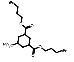 CC(C)CCCOC(=O)C1CC(C(=O)O)CC(C(=O)OCCCC(C)C)C1